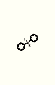 F[Si](Br)(c1ccccc1)c1ccccc1